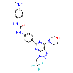 CN(C)c1ccc(NC(=O)Nc2ccc(-c3nc(N4CCOCC4)c4nnn(CC(F)(F)F)c4n3)cc2)cc1